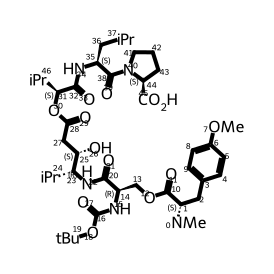 CN[C@@H](Cc1ccc(OC)cc1)C(=O)OC[C@@H](NC(=O)OC(C)(C)C)C(=O)N[C@H](C(C)C)[C@@H](O)CC(=O)O[C@H](C(=O)N[C@@H](CC(C)C)C(=O)N1CCC[C@H]1C(=O)O)C(C)C